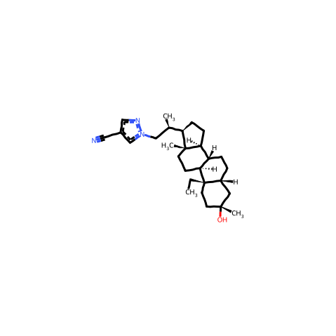 CC[C@]12CC[C@@](C)(O)C[C@H]1CC[C@H]1[C@@H]3CC[C@H]([C@H](C)Cn4cc(C#N)cn4)[C@@]3(C)CC[C@@H]12